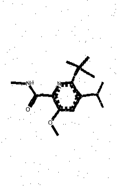 CNC(=O)c1nc(C(C)(C)C)c(C(C)C)cc1OC